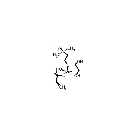 C=CC(=O)OP(=O)(O)OCC[N+](C)(C)C.OCCO